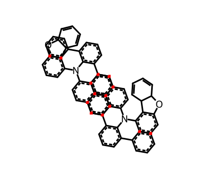 C1=CC2Oc3cccc(N(c4c(-c5ccccc5)cccc4-c4ccccc4)c4ccc5ccc6c(N(c7cccc8c7C7C=CC=CC7O8)c7c(-c8ccccc8)cccc7-c7ccccc7)ccc7ccc4c5c76)c3C2C=C1